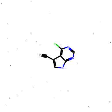 C#Cc1c[nH]c2ncnc(Cl)c12